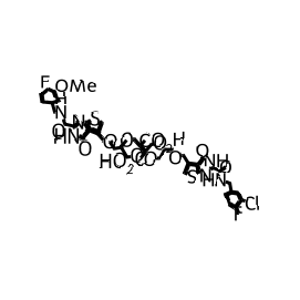 COc1cc(CNC(=O)c2nc3scc(COCC4COC(C(=O)O)(C5(C(=O)O)COC(COCc6csc7nc(C(=O)NCc8ccc(F)c(Cl)c8)[nH]c(=O)c67)CO5)CO4)c3c(=O)[nH]2)ccc1F